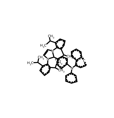 CC(C)c1cccc(C(C)C)c1N1C=CN(c2c(C(C)C)cccc2C(C)C)C1c1ccc(N(c2ccccc2)c2cccc3ccccc23)cc1